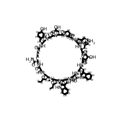 CCCC[C@H]1C(=O)N(C)[C@@H](CCCC)C(=O)N[C@@H](C)C(=O)N[C@H](C(N)=O)CSCC(=O)N[C@@H](Cc2ccc(O)cc2)C(=O)N(C)[C@@H](C)C(=O)N[C@@H](CC(=O)O)C(=O)N2CCC[C@H]2C(=O)N[C@@H](Cc2cnc[nH]2)C(=O)N[C@@H](CCCN)C(=O)N2C[C@H](O)C[C@H]2C(=O)N[C@@H](Cc2c[nH]c3ccccc23)C(=O)N[C@@H](CO)C(=O)N[C@@H](Cc2c[nH]c3ccccc23)C(=O)N1C